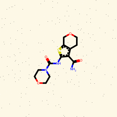 NC(=O)c1c(NC(=O)N2CCOCC2)sc2c1CCOC2